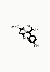 COc1nc(N)n(C(c2ccc(C#N)cc2)C(C#N)C(C)=O)n1